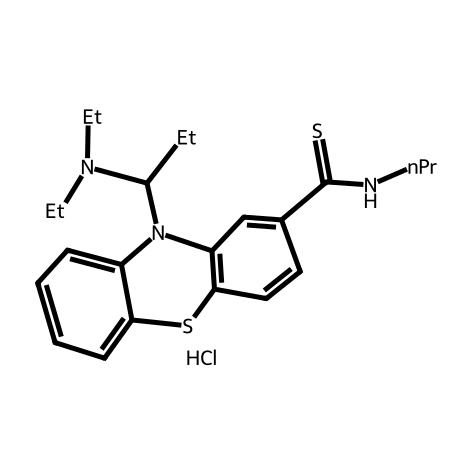 CCCNC(=S)c1ccc2c(c1)N(C(CC)N(CC)CC)c1ccccc1S2.Cl